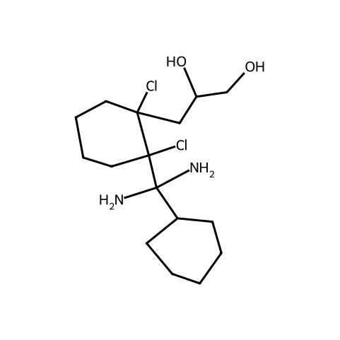 NC(N)(C1CCCCC1)C1(Cl)CCCCC1(Cl)CC(O)CO